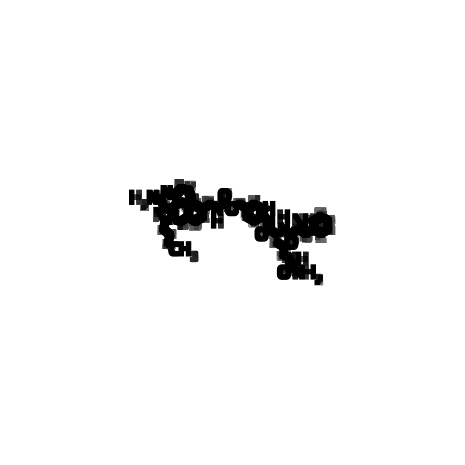 CCCCc1nc2c(N)nc3ccccc3c2n1Cc1ccc(CNC(=O)OCc2ccc(NC(=O)[C@H](CCCNC(N)=O)NC(=O)[C@@H](N)Cc3ccccc3)cc2)cc1